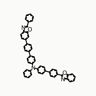 c1ccc(-c2nc3ccc(-c4ccc(-c5ccc(N(c6ccccc6)c6ccc(-c7ccc(-c8nc9ccccc9o8)cc7)cc6)cc5)cc4)cc3o2)cc1